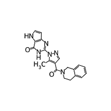 Cc1c(C(=O)N2CCc3ccccc3C2)cnn1-c1nc2cc[nH]c2c(=O)[nH]1